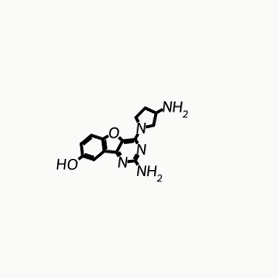 Nc1nc(N2CCC(N)C2)c2oc3ccc(O)cc3c2n1